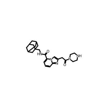 O=C(NCC12CC3CC(CC(C3)C1)C2)c1cccc2nc(CC(=O)N3CCNCC3)cn12